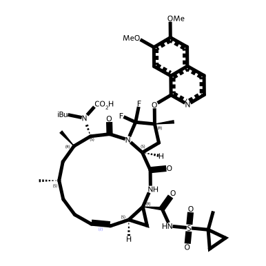 CCC(C)N(C(=O)O)[C@@H]1C(=O)N2[C@@H](C[C@@](C)(Oc3nccc4cc(OC)c(OC)cc34)C2(F)F)C(=O)N[C@]2(C(=O)NS(=O)(=O)C3(C)CC3)C[C@H]2/C=C\CC[C@H](C)C[C@H]1C